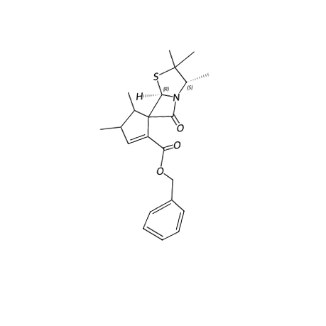 CC1C=C(C(=O)OCc2ccccc2)C2(C(=O)N3[C@@H](C)C(C)(C)S[C@@H]32)C1C